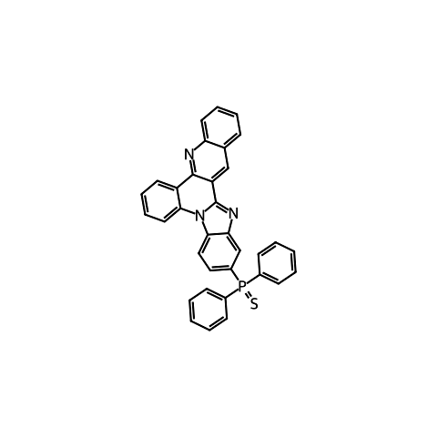 S=P(c1ccccc1)(c1ccccc1)c1ccc2c(c1)nc1c3cc4ccccc4nc3c3ccccc3n21